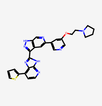 c1csc(-c2ccnc3[nH]c(-c4n[nH]c5cnc(-c6cncc(OCCN7CCCC7)c6)cc45)nc23)c1